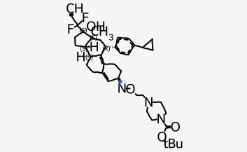 C#CC(F)(F)[C@]1(O)CC[C@H]2[C@@H]3CCC4=C/C(=N/OCCN5CCN(C(=O)OC(C)(C)C)CC5)CCC4=C3[C@@H](c3ccc(C4CC4)cc3)C[C@@]21C